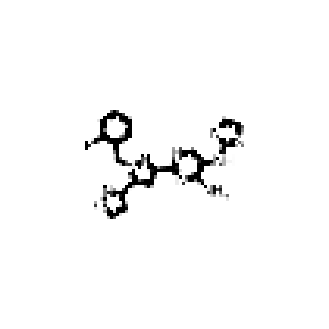 Nc1nc(-c2cc(-c3ccon3)n(Cc3ccccc3F)n2)ncc1Nc1nccs1